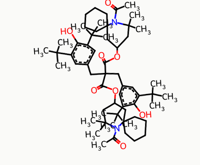 CC(=O)N1C(C)(C)CC(OC(=O)C(Cc2cc(C(C)(C)C)c(O)c(C(C)(C)C)c2)(Cc2cc(C(C)(C)C)c(O)c(C(C)(C)C)c2)C(=O)OC2CC(C)(C)N(C(C)=O)C3(CCCCC3)C2)CC12CCCCC2